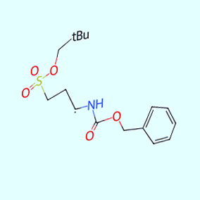 CC(C)(C)COS(=O)(=O)CC[CH]NC(=O)OCc1ccccc1